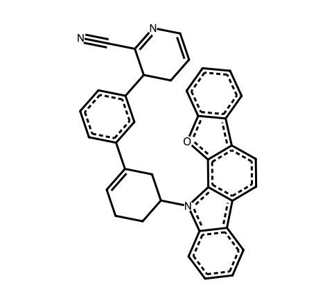 N#CC1=NC=CCC1c1cccc(C2=CCCC(n3c4ccccc4c4ccc5c6ccccc6oc5c43)C2)c1